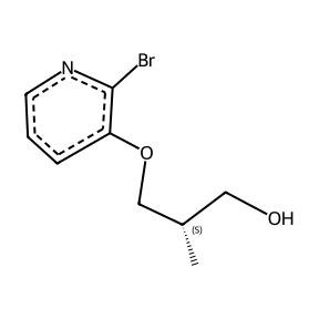 C[C@@H](CO)COc1cccnc1Br